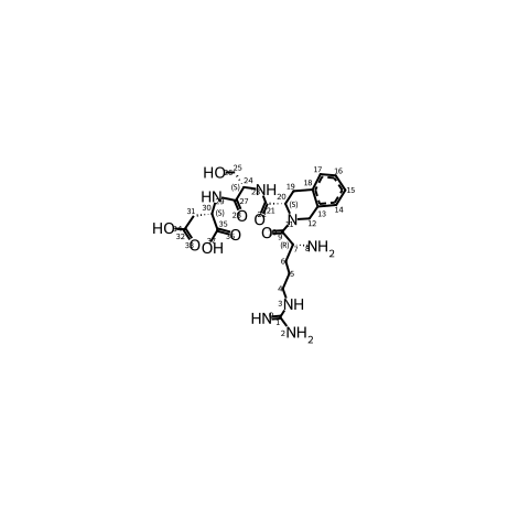 N=C(N)NCCC[C@@H](N)C(=O)N1Cc2ccccc2C[C@H]1C(=O)N[C@@H](CO)C(=O)N[C@@H](CC(=O)O)C(=O)O